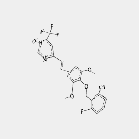 COc1cc(C=Cc2cc(C(F)(F)F)[n+]([O-])cn2)cc(OC)c1OCc1c(F)cccc1Cl